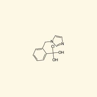 OC(O)(Cl)c1ccccc1Cn1ccnc1